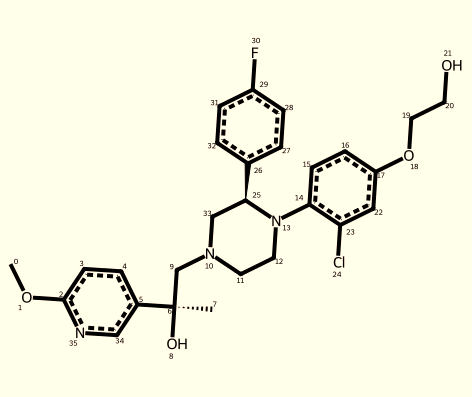 COc1ccc([C@](C)(O)CN2CCN(c3ccc(OCCO)cc3Cl)[C@H](c3ccc(F)cc3)C2)cn1